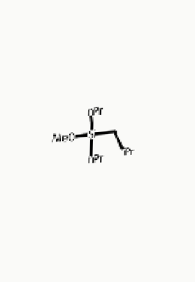 CCC[Si](CCC)(CC(C)C)OC